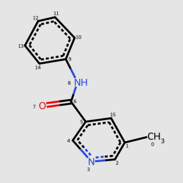 Cc1cncc(C(=O)Nc2ccccc2)c1